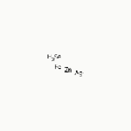 [Ag].[Fe].[SeH2].[Zn]